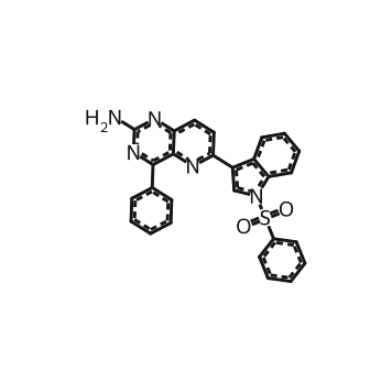 Nc1nc(-c2ccccc2)c2nc(-c3cn(S(=O)(=O)c4ccccc4)c4ccccc34)ccc2n1